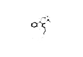 Cc1nnc2n1-c1sc(CCOC(=O)O)cc1C(c1ccccc1Cl)=NC2